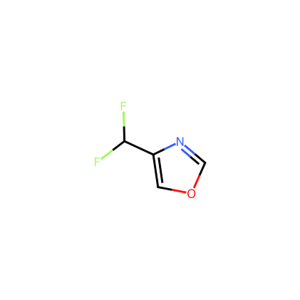 FC(F)c1cocn1